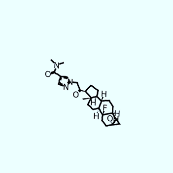 CN(C)C(=O)c1cnn(CC(=O)[C@H]2CC[C@H]3[C@@H]4CC[C@@H]5C6C[C@@]6(O)CC[C@]5(F)[C@H]4CC[C@]23C)c1